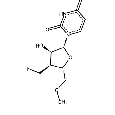 COC[C@H]1O[C@@H](n2ccc(=O)[nH]c2=O)[C@H](O)[C@@H]1CF